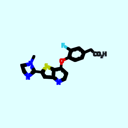 Cn1ccnc1-c1cc2nccc(Oc3ccc(CC(=O)O)cc3F)c2s1